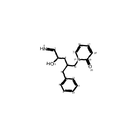 N=CC(O)CC(Cc1ccccc1)Cn1ccccc1=O